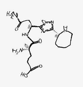 NC(=O)C[C@H](NC(=O)[C@@H](N)CCC(=O)O)c1nc([C@H]2CCCCN2)no1